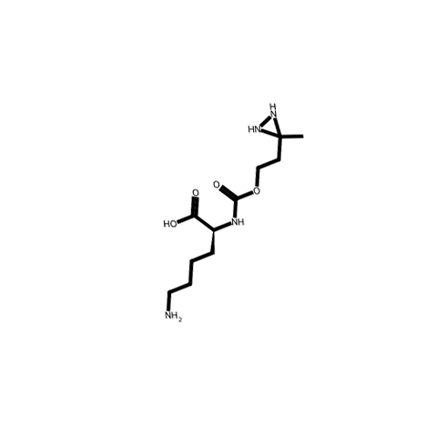 CC1(CCOC(=O)N[C@@H](CCCCN)C(=O)O)NN1